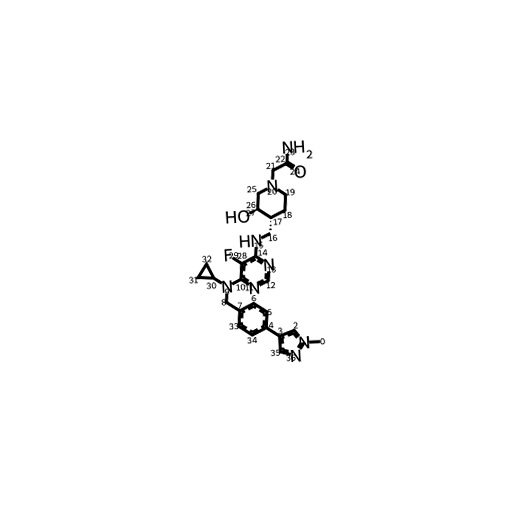 Cn1cc(-c2ccc(CN(c3ncnc(NC[C@H]4CCN(CC(N)=O)C[C@@H]4O)c3F)C3CC3)cc2)cn1